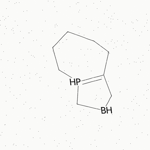 B1CC2=[PH](C1)CCCCC2